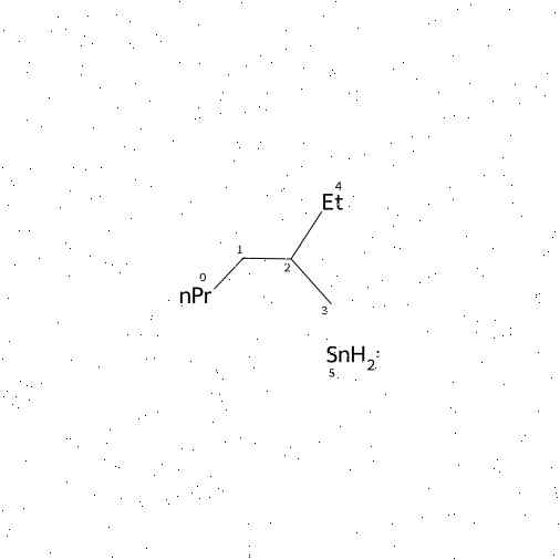 CCCCC(C)CC.[SnH2]